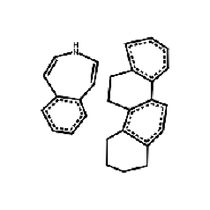 C1=Cc2ccccc2C=CN1.c1ccc2c(c1)CCc1c-2ccc2c1CCCC2